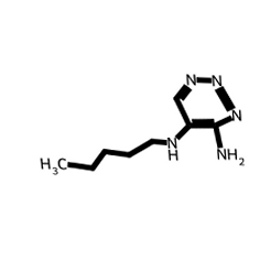 CCCCCNc1cnnnc1N